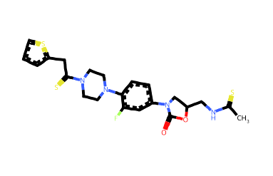 CC(=S)NCC1CN(c2ccc(N3CCN(C(=S)Cc4cccs4)CC3)c(F)c2)C(=O)O1